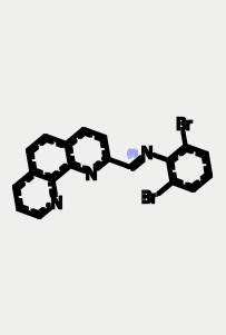 Brc1cccc(Br)c1/N=C/c1ccc2ccc3cccnc3c2n1